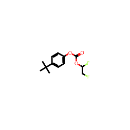 CC(C)(C)c1ccc(OC(=O)OC(F)CF)cc1